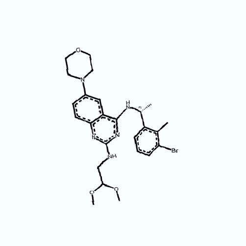 COC(CNc1nc(N[C@H](C)c2cccc(Br)c2C)c2cc(N3CCOCC3)ccc2n1)OC